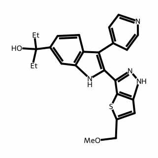 CCC(O)(CC)c1ccc2c(-c3ccncc3)c(-c3n[nH]c4cc(COC)sc34)[nH]c2c1